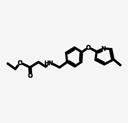 CCOC(=O)CCNCc1ccc(Oc2ccc(C)cn2)cc1